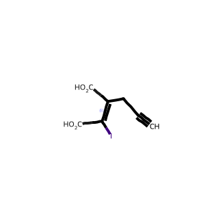 C#CC/C(C(=O)O)=C(\I)C(=O)O